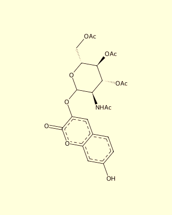 CC(=O)N[C@H]1C(Oc2cc3ccc(O)cc3oc2=O)O[C@H](COC(C)=O)[C@@H](OC(C)=O)[C@@H]1OC(C)=O